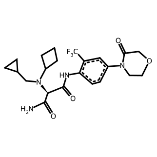 NC(=O)[C@H](C(=O)Nc1ccc(N2CCOCC2=O)cc1C(F)(F)F)N(CC1CC1)C1CCC1